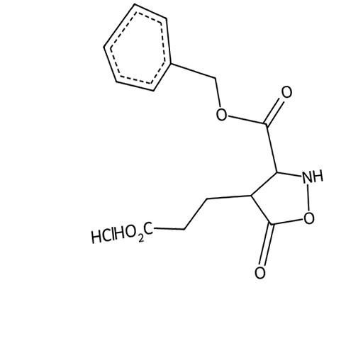 Cl.O=C(O)CCC1C(=O)ONC1C(=O)OCc1ccccc1